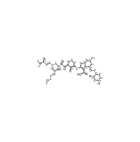 COCCOC(=O)N[C@@H](CC/C=C/C(=O)N(C)C)C(=O)Nc1cccn(Cc2cc3cc(F)cc(OCc4ccc(F)cc4F)c3n2C(=O)O)c1=O